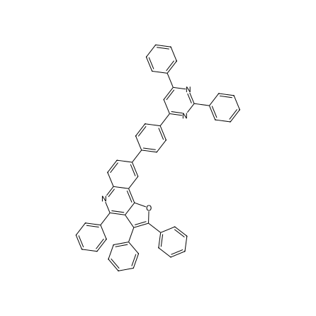 c1ccc(-c2cc(-c3ccc(-c4ccc5nc(-c6ccccc6)c6c(-c7ccccc7)c(-c7ccccc7)oc6c5c4)cc3)nc(-c3ccccc3)n2)cc1